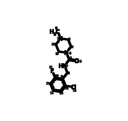 CN1CCN(C(=O)NCc2c(F)cccc2Cl)CC1